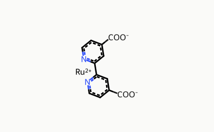 O=C([O-])c1ccnc(-c2cc(C(=O)[O-])ccn2)c1.[Ru+2]